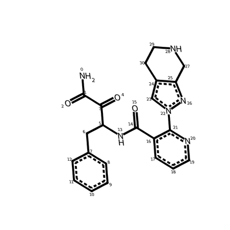 NC(=O)C(=O)C(Cc1ccccc1)NC(=O)c1cccnc1-n1cc2c(n1)CNCC2